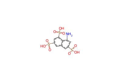 Nc1[c]c(S(=O)(=O)O)cc2cc(S(=O)(=O)O)cc(S(=O)(=O)O)c12